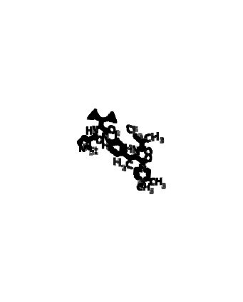 CCn1nccc1C(=O)N[C@H](C(=O)Nc1ccc([C@H](C)[C@@H](NC(=O)C(C)CC(F)(F)F)C(=O)N2CCN(C)[C@H](C)C2)cc1F)C(C1CC1)C1CC1